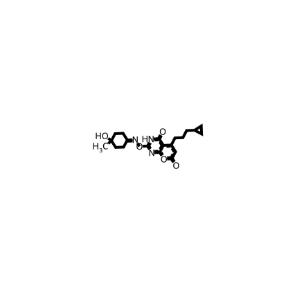 CC1(O)CCC(=NOc2nc3oc(=O)cc(CCCC4CC4)c3c(=O)[nH]2)CC1